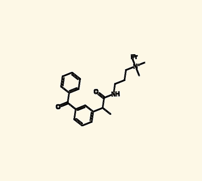 CC(C(=O)NCCC[N+](C)(C)C(C)C)c1cccc(C(=O)c2ccccc2)c1